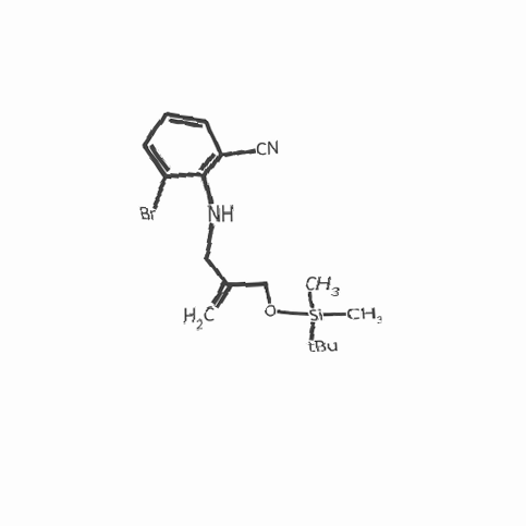 C=C(CNc1c(Br)cccc1C#N)CO[Si](C)(C)C(C)(C)C